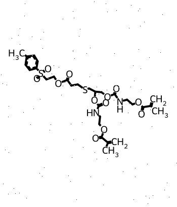 C=C(C)C(=O)OCCNC(=O)OCC(CSCCC(=O)OCCS(=O)(=O)c1ccc(C)cc1)OC(=O)NCCOC(=O)C(=C)C